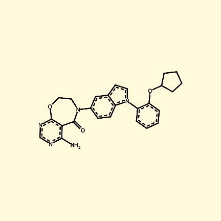 Nc1ncnc2c1C(=O)N(c1ccc3c(ccn3-c3ccccc3OC3CCCC3)c1)CCO2